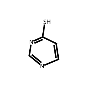 Sc1[c]cncn1